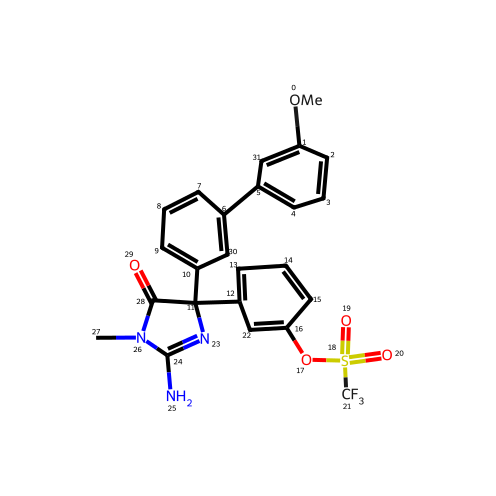 COc1cccc(-c2cccc(C3(c4cccc(OS(=O)(=O)C(F)(F)F)c4)N=C(N)N(C)C3=O)c2)c1